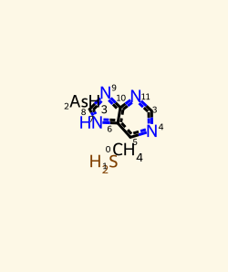 C.S.[AsH3].c1ncc2[nH]cnc2n1